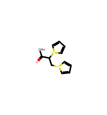 COC(=O)C([CH][SH]1C=CC=C1)[SH]1C=CC=C1